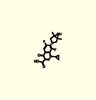 CC12CN(c3c(F)cc4c(=O)c(C(=O)O)cn(C5CC5)c4c3F)CC1(C)N2